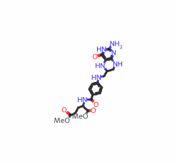 COC(=O)CCC(NC(=O)c1ccc(NCC2CNc3nc(N)[nH]c(=O)c3N2)cc1)C(=O)OC